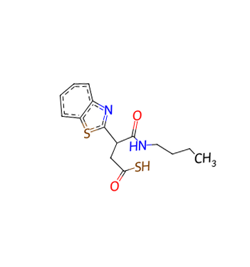 CCCCNC(=O)C(CC(=O)S)c1nc2ccccc2s1